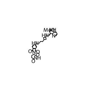 COc1cccnc1/C(C=N)=C/NC1CC(CCCNc2ccc3c(c2)C(=O)N(C2CCC(=O)NC2=O)C3=O)C1